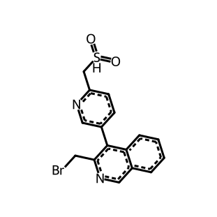 O=[SH](=O)Cc1ccc(-c2c(CBr)ncc3ccccc23)cn1